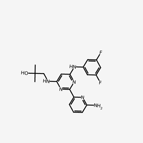 CC(C)(O)CNc1cc(Nc2cc(F)cc(F)c2)nc(-c2cccc(N)n2)n1